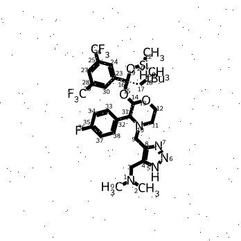 CN(C)Cc1[nH]nnc1CN1CCOC(O[C@](CC(C)(C)C)(O[SiH](C)C)c2cc(C(F)(F)F)cc(C(F)(F)F)c2)C1c1ccc(F)cc1